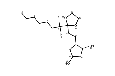 CCCCCCC(F)(F)C1(CC[C@@H]2CC(O)C[C@H]2O)OCCO1